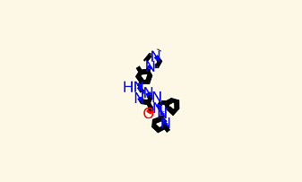 Cc1cccc(-n2c3ccccc3c3nc4nc(Nc5ccc(N6CCN(C)CC6)c(C)c5)ncc4c(=O)n32)n1